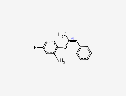 C/C(=C/c1ccccc1)Oc1ccc(F)cc1N